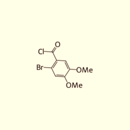 COc1cc(Br)c(C(=O)Cl)cc1OC